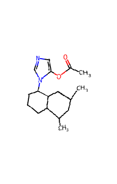 CC(=O)Oc1cncn1C1CCCC2C(C)CC(C)CC21